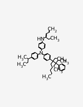 C=C/C=C(\CC)Nc1ccc(N(c2ccc(C(C)CC)cc2)c2ccc(C(CC)(CCCCC)C(CC)(CC)c3ccccc3)cc2)cc1